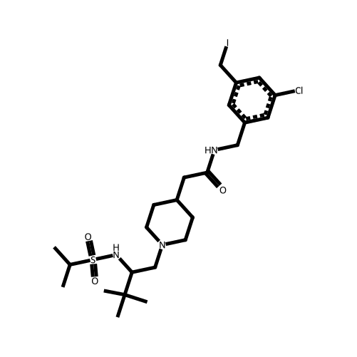 CC(C)S(=O)(=O)NC(CN1CCC(CC(=O)NCc2cc(Cl)cc(CI)c2)CC1)C(C)(C)C